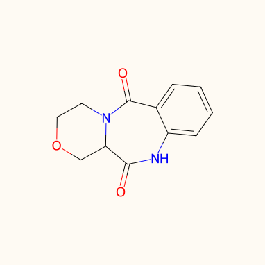 O=C1Nc2ccccc2C(=O)N2CCOCC12